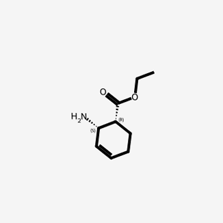 CCOC(=O)[C@@H]1CCC=C[C@@H]1N